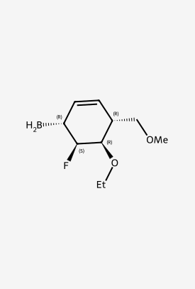 B[C@@H]1C=C[C@H](COC)[C@@H](OCC)[C@H]1F